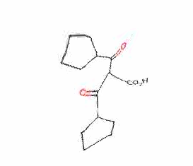 O=C(O)C(C(=O)C1CCCC1)C(=O)C1CCCC1